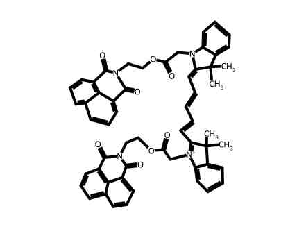 CC1(C)C(/C=C/C=C/C=C2/N(CC(=O)OCCN3C(=O)c4cccc5cccc(c45)C3=O)c3ccccc3C2(C)C)=[N+](CC(=O)OCCN2C(=O)c3cccc4cccc(c34)C2=O)c2ccccc21